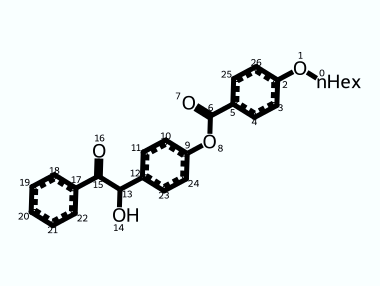 CCCCCCOc1ccc(C(=O)Oc2ccc(C(O)C(=O)c3ccccc3)cc2)cc1